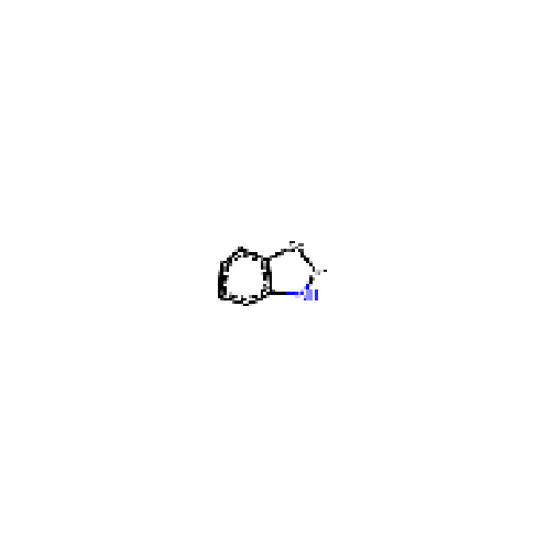 c1ccc2c(c1)N[Se][Se]2